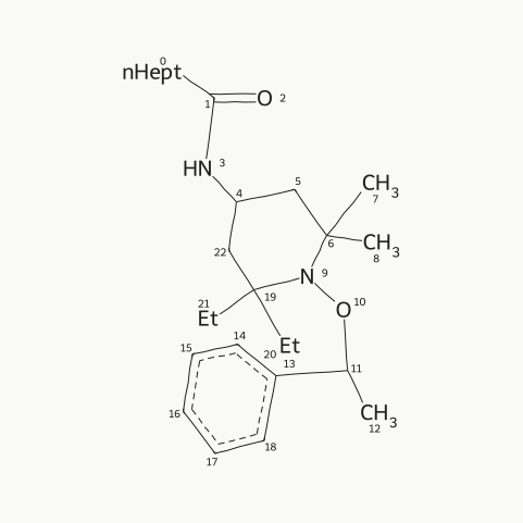 CCCCCCCC(=O)NC1CC(C)(C)N(OC(C)c2ccccc2)C(CC)(CC)C1